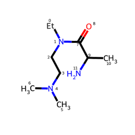 CCN(CCN(C)C)C(=O)C(C)N